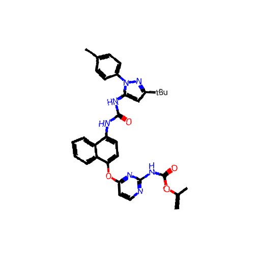 C=C(C)OC(=O)Nc1nccc(Oc2ccc(NC(=O)Nc3cc(C(C)(C)C)nn3-c3ccc(C)cc3)c3ccccc23)n1